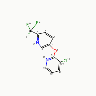 FC(F)(F)c1ccc(Oc2ncccc2Cl)cn1